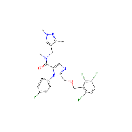 Cc1nn(C)cc1CN(C)C(=O)c1cnc(COCc2c(F)ccc(F)c2F)n1-c1ccc(F)cc1